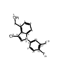 OCc1cccc2c1c(Cl)cn2-c1ccc(F)c(F)c1